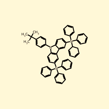 CC(C)(C)c1ccc(-n2c3ccc([Si](c4ccccc4)(c4ccccc4)c4ccccc4)cc3c3cc([Si](c4ccccc4)(c4ccccc4)C4C=CC=CC4)ccc32)cc1